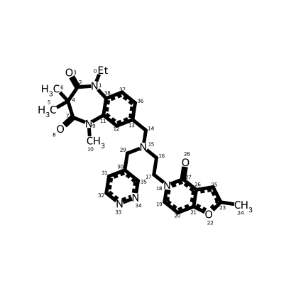 CCN1C(=O)C(C)(C)C(=O)N(C)c2cc(CN(CCn3ccc4oc(C)cc4c3=O)Cc3ccnnc3)ccc21